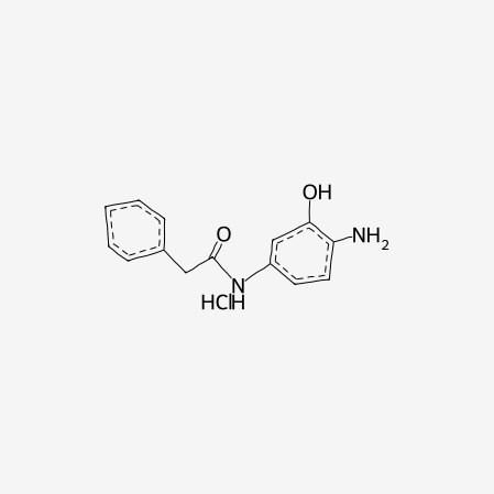 Cl.Nc1ccc(NC(=O)Cc2ccccc2)cc1O